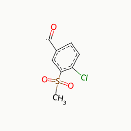 CS(=O)(=O)c1cc([C]=O)ccc1Cl